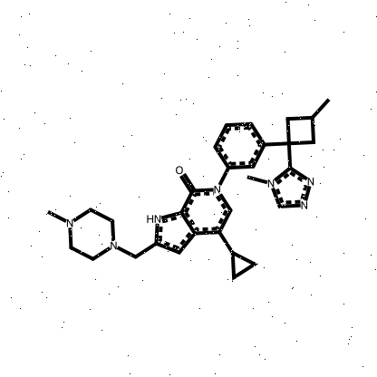 CC1CC(c2cccc(-n3cc(C4CC4)c4cc(CN5CCN(C)CC5)[nH]c4c3=O)c2)(c2nncn2C)C1